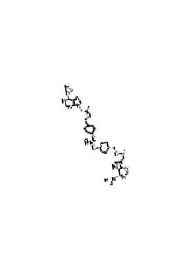 C[C@H](Cn1cnc2c(N)ncnc21)OCc1ccc(O[PH](=O)Oc2ccc(CO[C@H](C)Cn3cnc4c(N)ncnc43)cc2)cc1